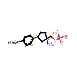 CCCCCCCc1ccc([C@H]2CC[C@@](N)(COP(=O)(O)O)C2)cc1